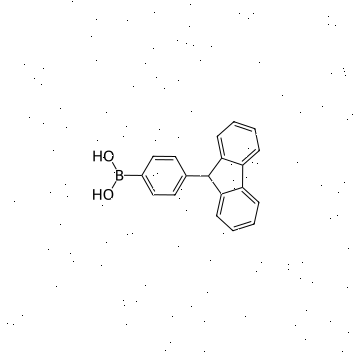 OB(O)c1ccc(C2c3ccccc3-c3ccccc32)cc1